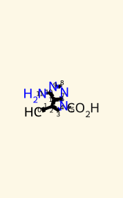 C#Cc1cn(C(=O)O)c2ncnc(N)c12